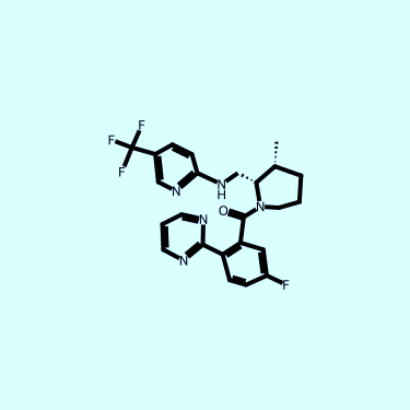 C[C@@H]1CCCN(C(=O)c2cc(F)ccc2-c2ncccn2)[C@@H]1CNc1ccc(C(F)(F)F)cn1